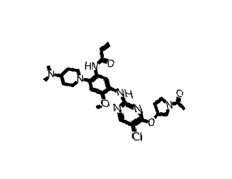 C=CC(=O)Nc1cc(Nc2ncc(Cl)c(OC3CCN(C(C)=O)C3)n2)c(OC)cc1N1CCC(N(C)C)CC1